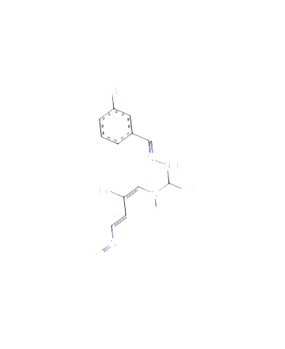 C=N/C=C/C(Br)=C\N(C)C(C)N/N=C/c1cccc(Cl)c1